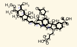 C=C1N=C(/C=C/C=C/C=C/C=C2/N(CCCS(=O)(=O)O)c3ccc(S(=O)(=O)O)cc3C2(C)c2ccc(C(=O)ON3C(=O)CCC3=O)cc2)C(C)(C)/C1=C/C(=C\C)C(=O)N(C)OC